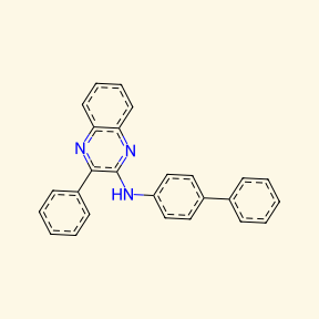 c1ccc(-c2ccc(Nc3nc4ccccc4nc3-c3ccccc3)cc2)cc1